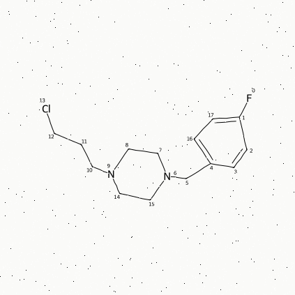 Fc1ccc(CN2CCN(CCCCl)CC2)cc1